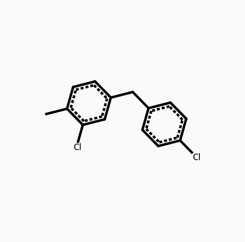 Cc1ccc(Cc2ccc(Cl)cc2)cc1Cl